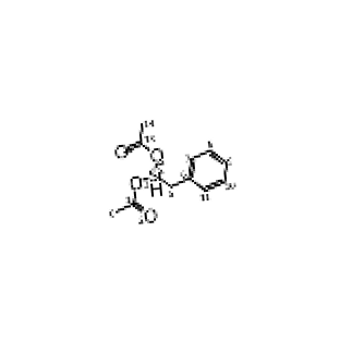 CC(=O)O[SiH](Cc1ccccc1)OC(C)=O